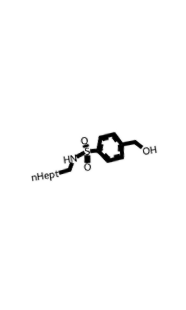 CCCCCCCCNS(=O)(=O)c1ccc(CO)cc1